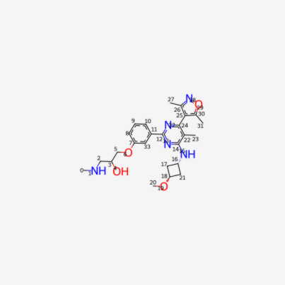 CNCC(O)COc1cccc(-c2nc(N[C@H]3C[C@H](OC)C3)c(C)c(-c3c(C)noc3C)n2)c1